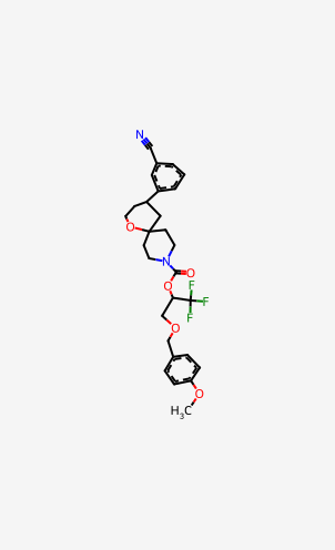 COc1ccc(COCC(OC(=O)N2CCC3(CC2)CC(c2cccc(C#N)c2)CCO3)C(F)(F)F)cc1